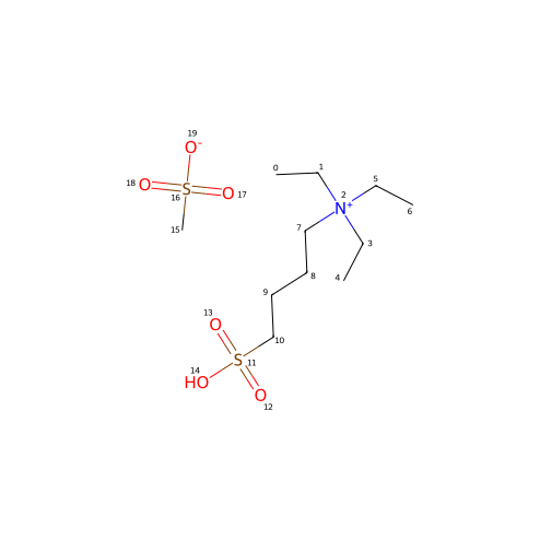 CC[N+](CC)(CC)CCCCS(=O)(=O)O.CS(=O)(=O)[O-]